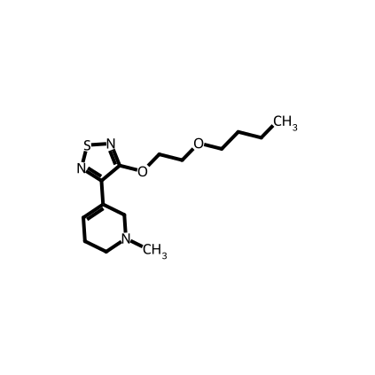 CCCCOCCOc1nsnc1C1=CCCN(C)C1